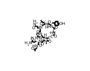 CC[C@H](C)[C@@H]1NC(=O)[C@H](Cc2ccc(O)cc2)NC(=O)CNC(=O)CC[C@@H](C(=O)N(C)CC(=O)N[C@@H](CCC(N)=O)C(=O)NCC(C)=O)NC(=O)[C@H](CC(N)=O)NC(=O)[C@H](CCC(N)=O)NC1=O